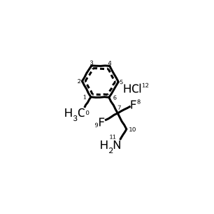 Cc1ccccc1C(F)(F)CN.Cl